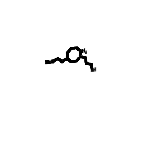 COCOC1CCC[SiH2]N(CCCS)CC1